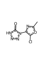 Cc1nc(-n2nn[nH]c2=O)c(Cl)o1